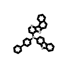 c1ccc(-c2ccc(N(c3ccc4c(c3)sc3ccccc34)c3ccnc4c3oc3ccc5ccccc5c34)cc2)cc1